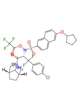 N[C@@H]1[C@@H]2CC[C@H]1CN(C(=O)[C@H](N(OC(=O)C(F)(F)F)S(=O)(=O)c1ccc3cc(OC4CCCC4)ccc3c1)C(F)(F)c1ccc(Cl)cc1)C2